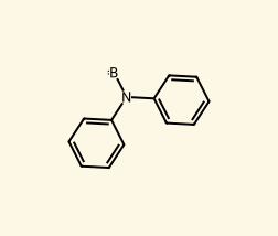 [B]N(c1ccccc1)c1ccccc1